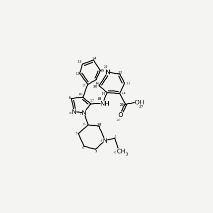 CCN1CCCC(n2ncc(-c3ccccc3)c2Nc2cnccc2C(=O)O)C1